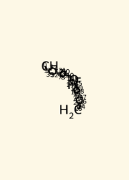 C=C[C@H]1CC[C@H](c2ccc(CCOC(F)(F)c3ccc([C@H]4CC[C@H](C=C)CC4)cc3)cc2)CC1